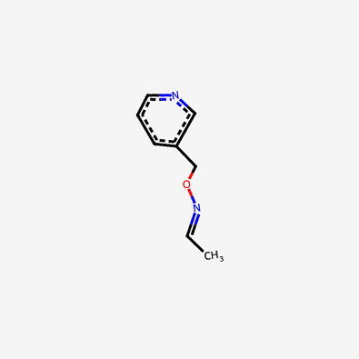 CC=NOCc1cccnc1